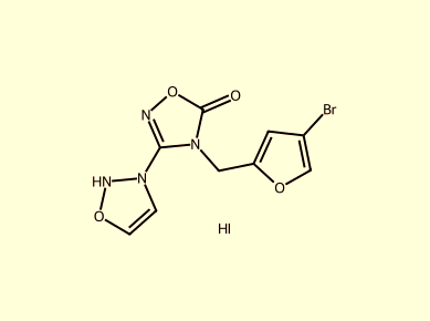 I.O=c1onc(N2C=CON2)n1Cc1cc(Br)co1